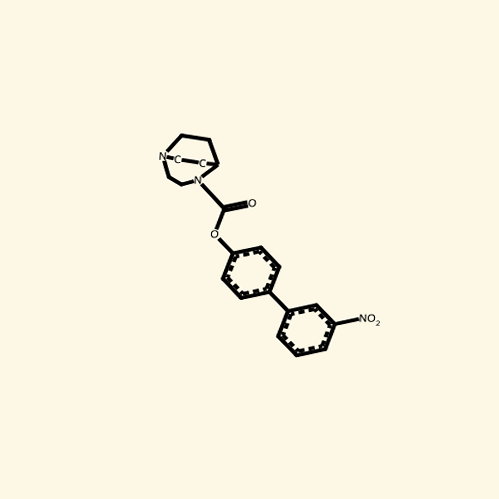 O=C(Oc1ccc(-c2cccc([N+](=O)[O-])c2)cc1)N1CCN2CCC1CC2